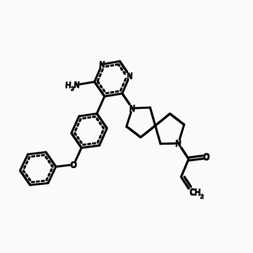 C=CC(=O)N1CCC2(CCN(c3ncnc(N)c3-c3ccc(Oc4ccccc4)cc3)C2)C1